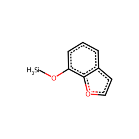 [SiH3]Oc1cccc2ccoc12